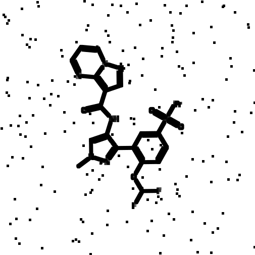 CC(C)S(=O)(=O)c1ccc(OC(F)F)c(-c2nn(C)cc2NC(=O)c2cnn3cccnc23)c1